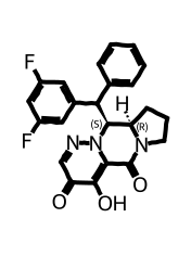 O=C1c2c(O)c(=O)cnn2[C@@H](C(c2ccccc2)c2cc(F)cc(F)c2)[C@H]2CCCN12